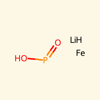 O=PO.[Fe].[LiH]